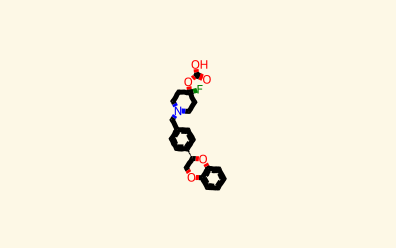 O=C(O)OC1(F)CCN(Cc2ccc([C@H]3COc4ccccc4O3)cc2)CC1